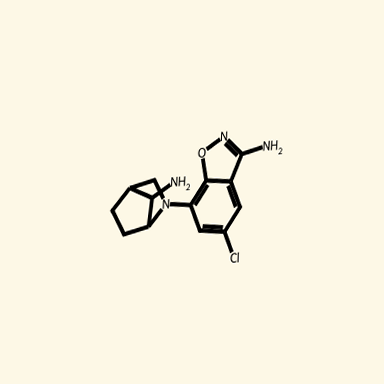 Nc1noc2c(N3CC4CCC3C4N)cc(Cl)cc12